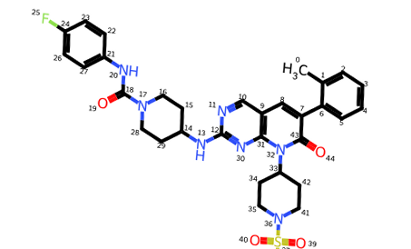 Cc1ccccc1-c1cc2cnc(NC3CCN(C(=O)Nc4ccc(F)cc4)CC3)nc2n(C2CCN(S(C)(=O)=O)CC2)c1=O